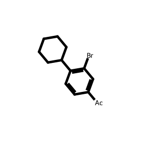 CC(=O)c1ccc(C2CCCCC2)c(Br)c1